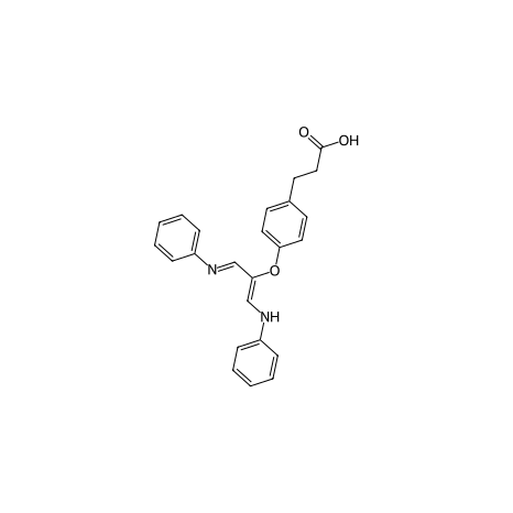 O=C(O)CCc1ccc(OC(=C\Nc2ccccc2)/C=N/c2ccccc2)cc1